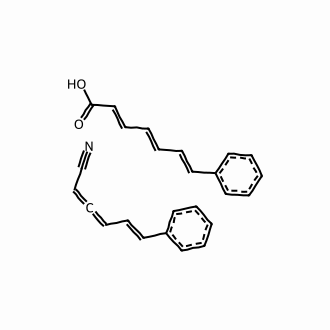 N#CC=C=CC=Cc1ccccc1.O=C(O)C=CC=CC=Cc1ccccc1